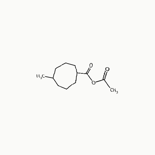 CC(=O)OC(=O)C1CCCC(C)CCC1